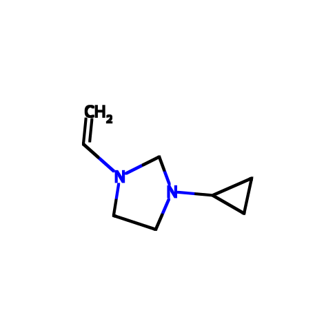 C=CN1CCN(C2CC2)C1